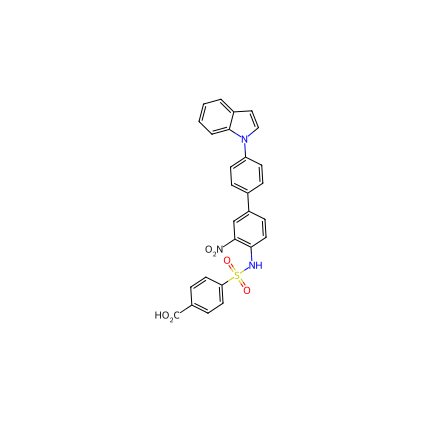 O=C(O)c1ccc(S(=O)(=O)Nc2ccc(-c3ccc(-n4ccc5ccccc54)cc3)cc2[N+](=O)[O-])cc1